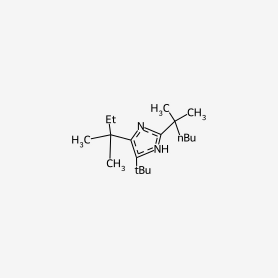 CCCCC(C)(C)c1nc(C(C)(C)CC)c(C(C)(C)C)[nH]1